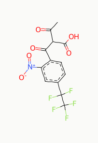 CC(=O)C(C(=O)O)C(=O)c1ccc(C(F)(F)C(F)(F)F)cc1[N+](=O)[O-]